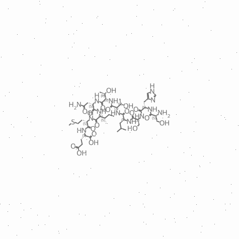 CC[C@H](C)[C@H](NC(=O)[C@H](CC(N)=O)NC(=O)[C@@H](NC(=O)[C@@H](NC(=O)[C@H](CC(C)C)NC(=O)[C@H](CO)NC(=O)[C@H](Cc1c[nH]cn1)NC(=O)[C@@H](N)CO)[C@@H](C)O)[C@@H](C)O)C(=O)N[C@@H](CCSC)C(=O)N[C@@H](CCC(=O)O)C(=O)O